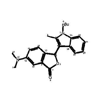 CCCCn1c(C)c(C2OC(=O)c3cc(N(C)C)ccc32)c2ccccc21